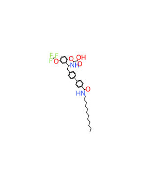 CCCCCCCCCCCCNC(=O)c1ccc(-c2ccc(CC(NC(=O)C(=O)O)c3cccc(OC(F)(F)F)c3)cc2)cc1